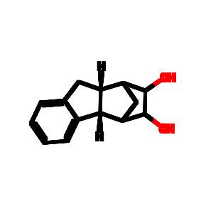 OC1C(O)C2CC1[C@H]1Cc3ccccc3[C@@H]21